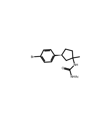 CC(=O)NC(=O)NC1(C)CC[C@H](c2ccc(Br)cc2)C1